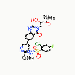 CNC(=O)[C@H](O)Cn1cnc2ccc(-c3cnc(OC)c(NS(=O)(=O)c4ccc(F)cc4Cl)c3)cc2c1=O